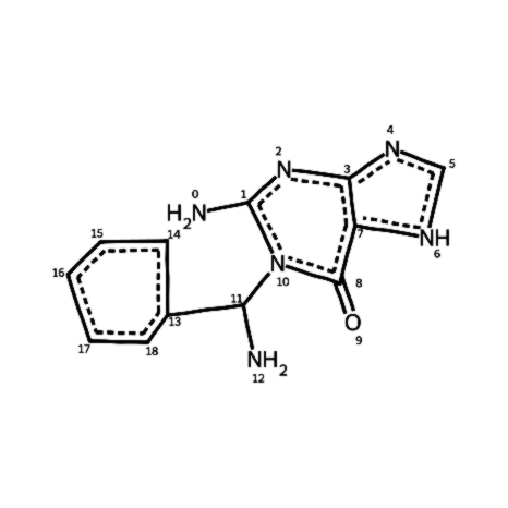 Nc1nc2nc[nH]c2c(=O)n1C(N)c1ccccc1